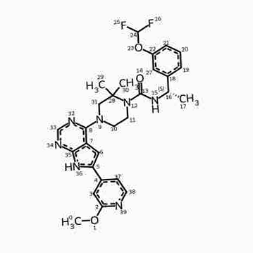 COc1cc(-c2cc3c(N4CCN(C(=O)N[C@@H](C)c5cccc(OC(F)F)c5)C(C)(C)C4)ncnc3[nH]2)ccn1